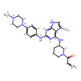 C=CC(=O)N1CCC[C@@H](Nc2nc(Nc3ccc(N4CCN(C)CC4)cc3)nc3[nH]cc(Cl)c23)C1